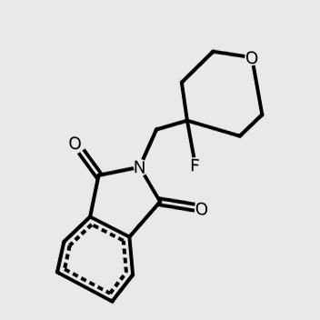 O=C1c2ccccc2C(=O)N1CC1(F)CCOCC1